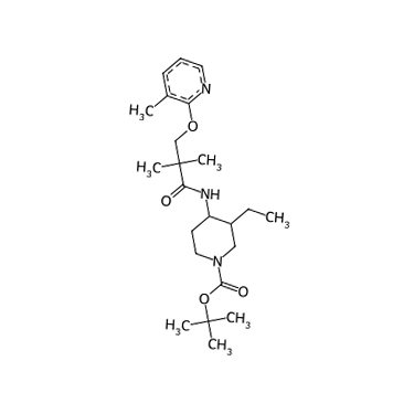 CCC1CN(C(=O)OC(C)(C)C)CCC1NC(=O)C(C)(C)COc1ncccc1C